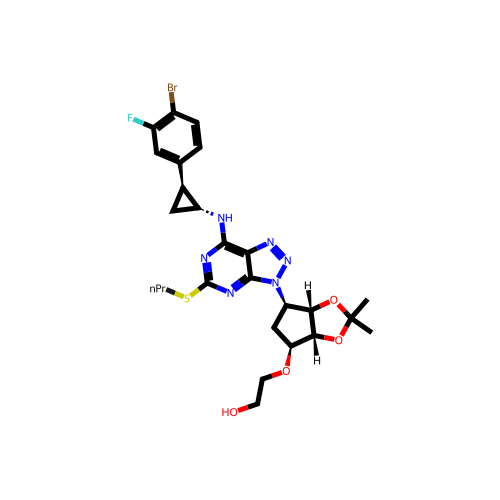 CCCSc1nc(N[C@@H]2C[C@H]2c2ccc(Br)c(F)c2)c2nnn([C@@H]3C[C@H](OCCO)[C@H]4OC(C)(C)O[C@H]43)c2n1